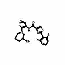 NC1CCCN(c2sncc2NC(=O)c2csc(-c3c(F)cccc3F)n2)C1